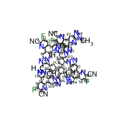 Cc1nc2cc(-c3nc(C#N)c(F)cc3-c3cnn(C)c3)ccn2c1C1CCCC1(C)Cn1cc(-c2cc(F)c(C#N)nc2-c2ccn3c(C4CCCC4(C)Cn4cc(-c5cc(F)c(C#N)nc5-c5ccc6c(c5)ncn6C5CCCC5(C)Cn5cc(-c6cc(F)c(C#N)nc6-c6cnc7c(c6)ncn7C)cn5)cn4)cnc3c2)cn1